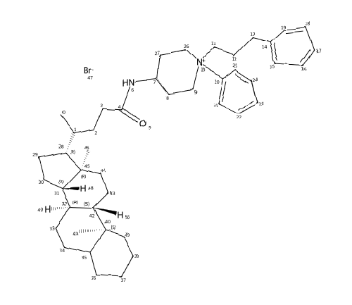 CC(CCC(=O)NC1CC[N+](CCCc2ccccc2)(c2ccccc2)CC1)[C@H]1CC[C@H]2[C@@H]3CCC4CCCC[C@]4(C)[C@H]3CC[C@]12C.[Br-]